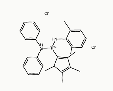 CC1=C(C)C(C)[C]([Ti+2]([NH]c2c(C)cccc2C)[SiH](c2ccccc2)c2ccccc2)=C1C.[Cl-].[Cl-]